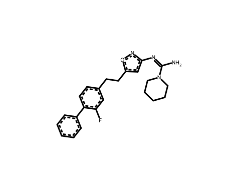 NC(=Nc1cc(CCc2ccc(-c3ccccc3)c(F)c2)on1)N1CCCCC1